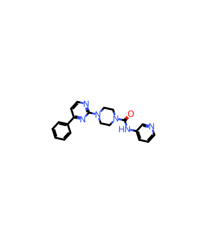 O=C(Nc1cccnc1)N1CCN(c2nccc(-c3ccccc3)n2)CC1